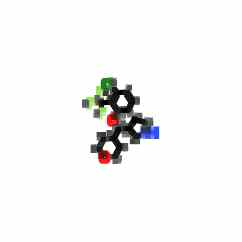 FC(F)(F)c1c(Cl)cccc1O[C@@H](C1CCOCC1)[C@H]1CCNC1